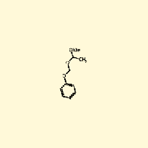 COC(C)OCOc1cc[c]cc1